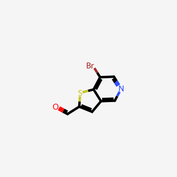 O=Cc1cc2cncc(Br)c2s1